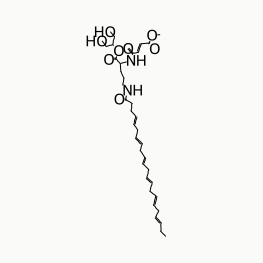 CCC=CCC=CCC=CCC=CCC=CCC=CCCC(=O)NCCCC(NC(=O)C=CC(=O)OC)C(=O)OC(CO)CO